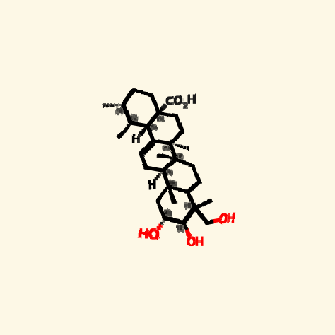 C[C@H]1[C@H](C)CC[C@]2(C(=O)O)CC[C@]3(C)C(=CC[C@@H]4[C@@]5(C)C[C@@H](O)[C@H](O)[C@@](C)(CO)C5CC[C@]43C)[C@H]12